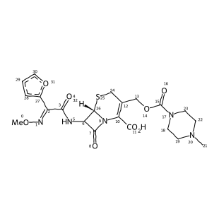 CON=C(C(=O)NC1C(=O)N2C(C(=O)O)=C(COC(=O)N3CCN(C)CC3)CS[C@@H]12)c1ccco1